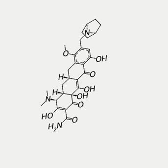 COc1c(CN2C3CCC2CC3)cc(O)c2c1C[C@H]1C[C@H]3[C@H](N(C)C)C(O)=C(C(N)=O)C(=O)[C@@]3(O)C(O)=C1C2=O